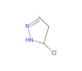 ClC1C[C]=NN1